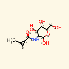 CC1=CC1C(=O)NC1C(O)OC(CO)[C@@H](O)[C@@H]1O